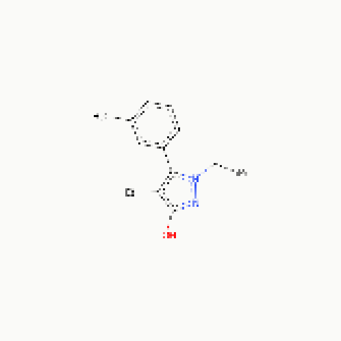 CCc1c(O)nn(CC(C)C)c1-c1cccc(C)c1